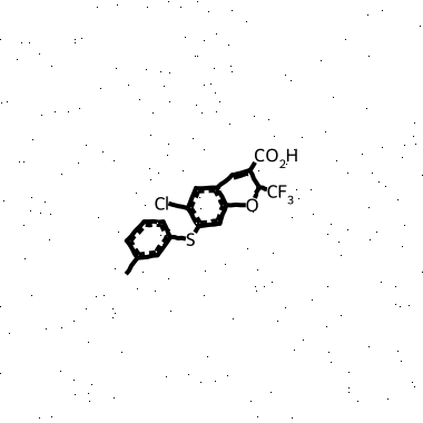 Cc1cccc(Sc2cc3c(cc2Cl)C=C(C(=O)O)C(C(F)(F)F)O3)c1